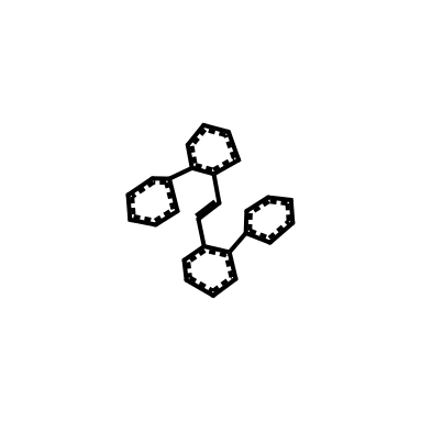 C(=Cc1ccccc1-c1ccccc1)c1ccccc1-c1ccccc1